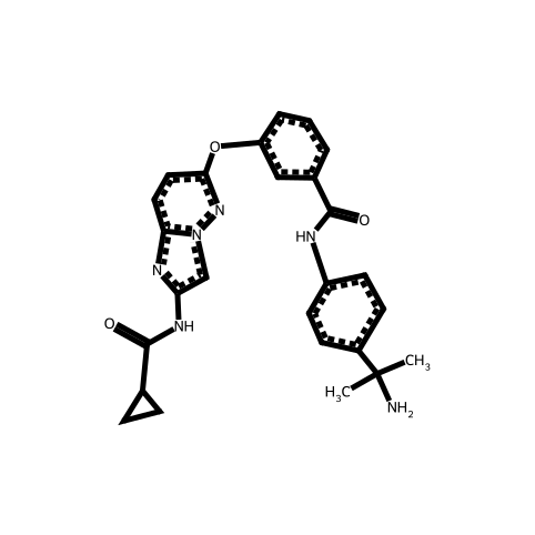 CC(C)(N)c1ccc(NC(=O)c2cccc(Oc3ccc4nc(NC(=O)C5CC5)cn4n3)c2)cc1